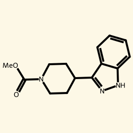 COC(=O)N1CCC(c2n[nH]c3ccccc23)CC1